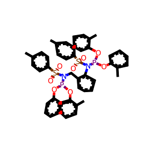 Cc1ccc(S(=O)(=O)N(Cc2ccccc2N(P(Oc2ccccc2C)Oc2ccccc2C)S(=O)(=O)c2ccc(C)cc2)P(Oc2ccccc2C)Oc2ccccc2C)cc1